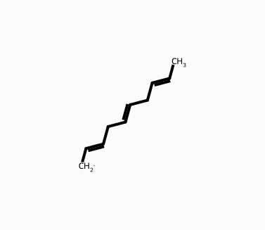 [CH2]C=CCC=CCC=CC